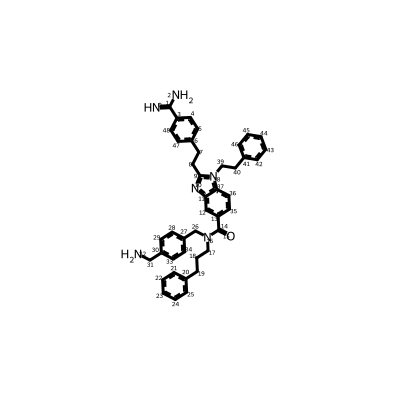 N=C(N)c1ccc(CCc2nc3cc(C(=O)N(CCCc4ccccc4)Cc4ccc(CN)cc4)ccc3n2CCc2ccccc2)cc1